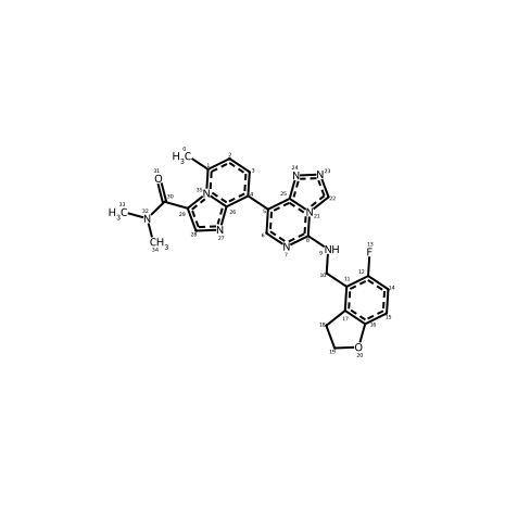 Cc1ccc(-c2cnc(NCc3c(F)ccc4c3CCO4)n3cnnc23)c2ncc(C(=O)N(C)C)n12